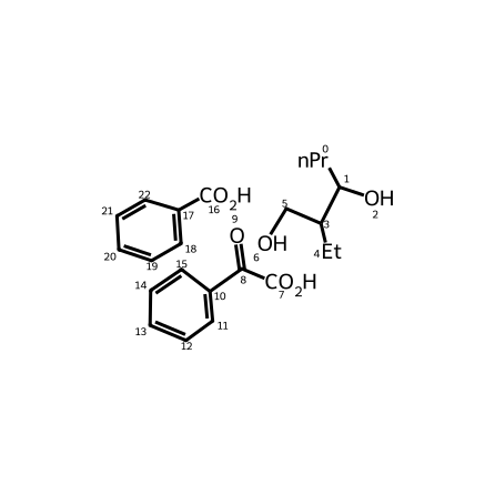 CCCC(O)C(CC)CO.O=C(O)C(=O)c1ccccc1.O=C(O)c1ccccc1